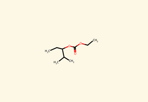 CCOC(=O)OC(CC)C(C)C